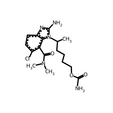 CC(CCCCOC(N)=O)n1c(N)nc2ccc(Cl)c(C(=O)N(C)C)c21